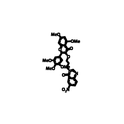 COc1cc(OC)c2c(=O)c(OCCCn3cnc4ccc([N+](=O)[O-])cc4c3=O)c(-c3cc(OC)c(OC)c(OC)c3)oc2c1